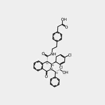 O=C(O)Cc1ccc(CCNC(=O)[C@H]2c3ccccc3C(=O)N([C@H](CO)c3ccccc3)[C@@H]2C2CC=C(Cl)C=C2Cl)cc1